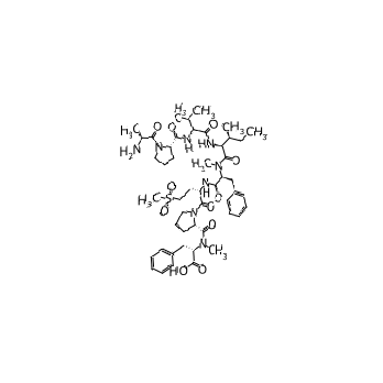 CC[C@H](C)[C@H](NC(=O)[C@@H](NC(=O)[C@@H]1CCCN1C(=O)[C@H](C)N)C(C)C)C(=O)N(C)[C@@H](Cc1ccccc1)C(=O)N[C@@H](CCS(C)(=O)=O)C(=O)N1CCC[C@H]1C(=O)N(C)[C@@H](Cc1ccccc1)C(=O)O